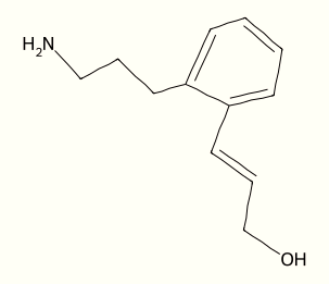 NCCCc1ccccc1/C=C/CO